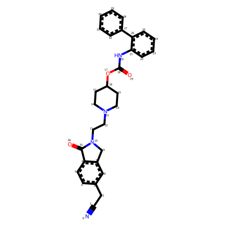 N#CCc1ccc2c(c1)CN(CCN1CCC(OC(=O)Nc3ccccc3-c3ccccc3)CC1)C2=O